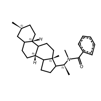 C[C@H]1CC[C@H]2C(CC[C@@H]3C2CC[C@@]2(C)C3CCC2[C@H](C)N(C)C(=O)c2ccccc2)C1